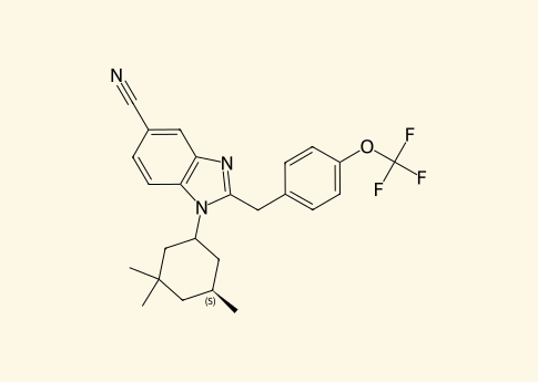 C[C@@H]1CC(n2c(Cc3ccc(OC(F)(F)F)cc3)nc3cc(C#N)ccc32)CC(C)(C)C1